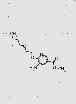 CCCCOCCOc1ncc(C(=O)OC)cc1N